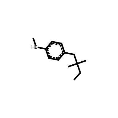 CBc1ccc(CC(C)(C)CC)cc1